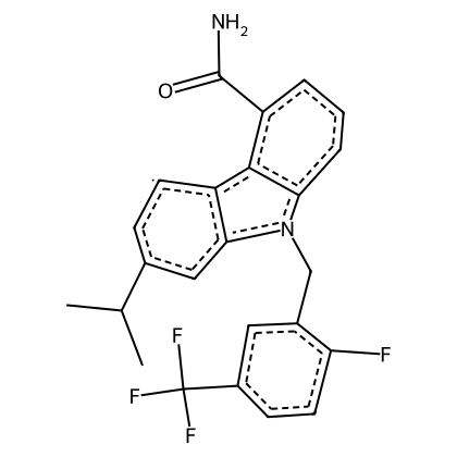 CC(C)c1c[c]c2c3c(C(N)=O)cccc3n(Cc3cc(C(F)(F)F)ccc3F)c2c1